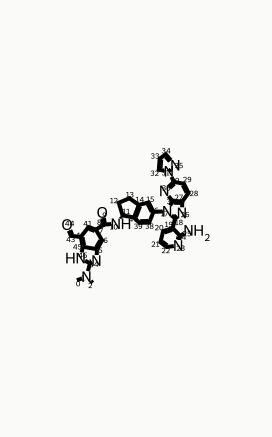 CN(C)c1nc2cc(C(=O)N[C@H]3CCc4cc(-n5c(-c6cccnc6N)nc6ccc(-n7cccn7)nc65)ccc43)cc(C=O)c2[nH]1